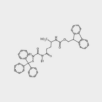 CCN(SC(c1ccccc1)(c1ccccc1)c1ccccc1)C(=O)N(CC)C(=O)CCC(NC(=O)OCC1c2ccccc2-c2ccccc21)C(=O)O